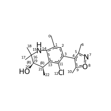 Cc1cc(-c2c(C)noc2C)c(Cl)c2c1NC(C)(C)[C@H](O)[C@@H]2C